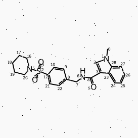 Cn1cc(C(=O)NCc2ccc(S(=O)(=O)N3CCCCC3)cc2)c2ccccc21